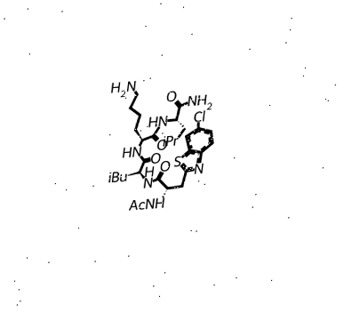 CC[C@H](C)[C@H](NC(=O)[C@H](Cc1nc2ccc(Cl)cc2s1)NC(C)=O)C(=O)N[C@@H](CCCCN)C(=O)N[C@@H](CC(C)C)C(N)=O